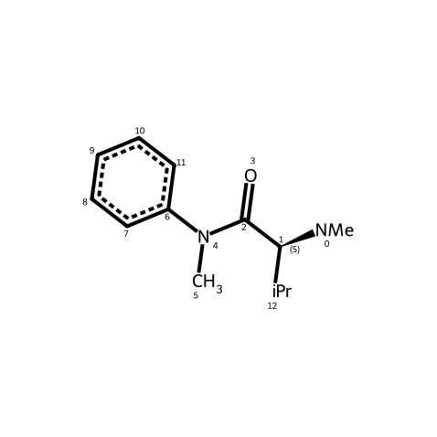 CN[C@H](C(=O)N(C)c1ccccc1)C(C)C